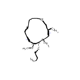 CO[C@H]1/C=C/CCCCCOC/C(C)=C\[C@@H](C)[C@@H]1OCCO